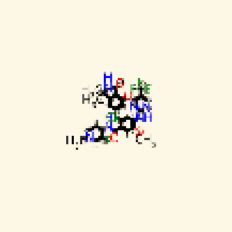 COc1cc(C(=O)N[C@H]2CCN(C)C[C@H]2F)c(Cl)cc1Nc1ncc(C(F)(F)F)c(Oc2cccc3c2C(=O)NC3(C)C)n1